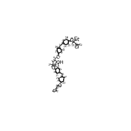 CCC(C)(CC(O)COc1ccc(Cc2ccc(OC(C)(CC)C3CO3)cc2)cc1)Oc1ccc(Cc2ccc(OCC3CO3)cc2)cc1